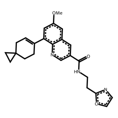 COc1cc(C2=CCC3(CC2)CC3)c2ncc(C(=O)NCCc3ncco3)cc2c1